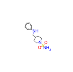 NS(=O)(=O)N1CCC(CNc2ccccc2)CC1